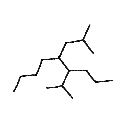 CCCC[C](CC(C)C)C(CCC)C(C)C